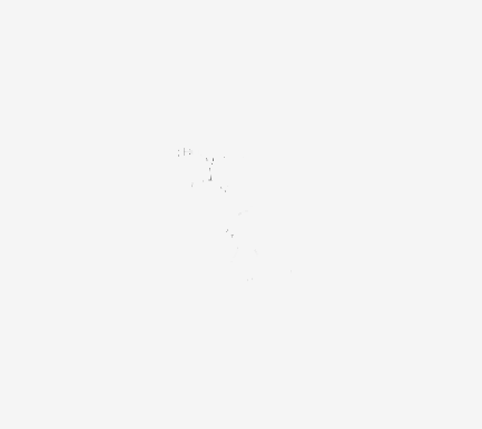 CCOC(=O)CN(C(=O)NC(C)(C)C)C1CCN(c2cccc(C(F)(F)F)c2)C1=O